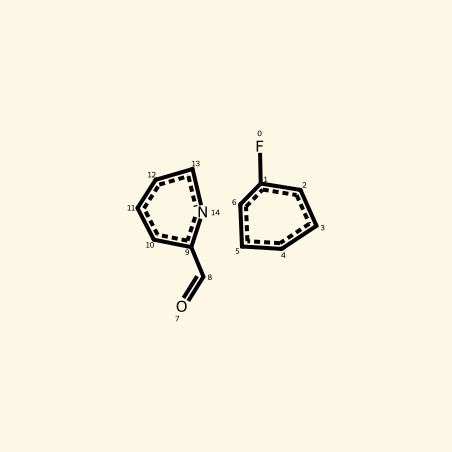 Fc1ccccc1.O=Cc1ccccn1